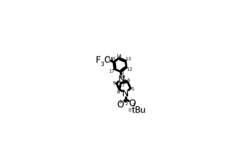 CC(C)(C)OC(=O)N1CC2CC1CN2c1cccc(C(F)(F)F)c1